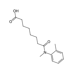 Cc1ccccc1N(C)C(=O)CCCCCCC(=O)O